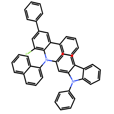 Fc1cc(-c2ccccc2)cc(-c2ccccc2)c1N(c1ccc2c3ccccc3n(-c3ccccc3)c2c1)c1cccc2ccccc12